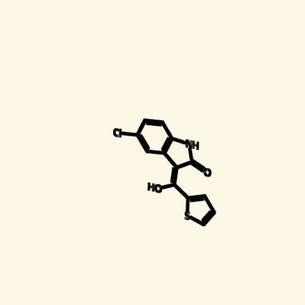 O=C1Nc2ccc(Cl)cc2C1=C(O)c1cccs1